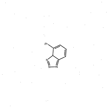 CC(C)C1=CC=CC2=NN=NC12